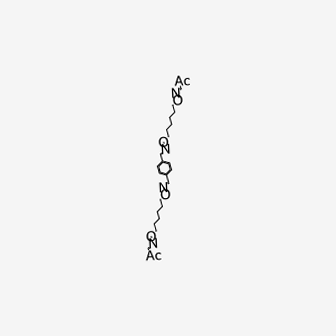 CC(=O)/C=N/OCCCCCCO/N=C/c1ccc(/C=N/OCCCCCCO/N=C/C(C)=O)cc1